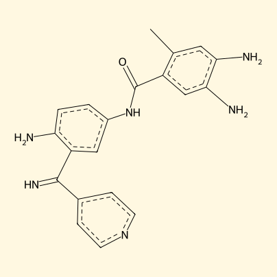 Cc1cc(N)c(N)cc1C(=O)Nc1ccc(N)c(C(=N)c2ccncc2)c1